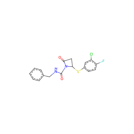 O=C1CC(Sc2ccc(F)c(Cl)c2)N1C(=O)NCc1ccccc1